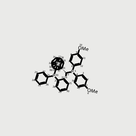 COc1ccc(P(c2ccc(OC)cc2)C(C)[C@]23[CH]4[CH]5[CH]6[C]2(P(c2ccccc2)c2ccccc2)[Fe]56432789[CH]3[CH]2[CH]7[CH]8[CH]39)cc1